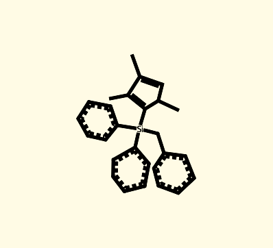 CC1=CC(C)C([Si](Cc2ccccc2)(c2ccccc2)c2ccccc2)=C1C